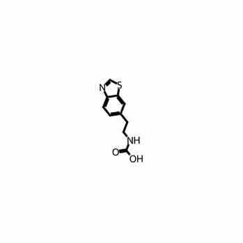 O=C(O)NCCc1ccc2ncsc2c1